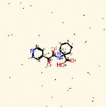 O=C(NC1(C(=O)O)CCCCC1)C(=O)c1ccncc1